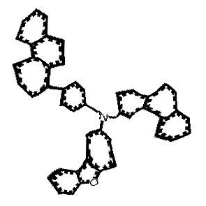 c1ccc2c(c1)ccc1ccc(N(c3ccc(-c4cccc5c4ccc4ccccc45)cc3)c3ccc4oc5ccccc5c4c3)cc12